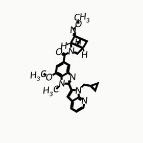 CO/N=C1\C2C[C@@H]3CN(C(=O)c4cc(OC)c5c(c4)nc(-c4cc6cccnc6n4CC4CC4)n5C)[C@H]1[C@H]23